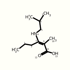 CCCC(NCC(C)C)=C(C)C(=O)O